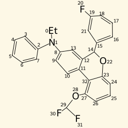 CCN(c1ccccc1)c1ccc2c(c1)C(c1cccc(F)c1)Oc1cccc(OC(F)F)c1-2